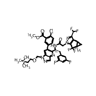 COC(=O)c1cc(-c2cc3c(cnn3COCCS(C)(C)C)nc2[C@H](Cc2cc(F)cc(F)c2)NC(=O)Cn2nc(C(F)F)c3c2C(F)(F)[C@@H]2CC32)ccc1Cl